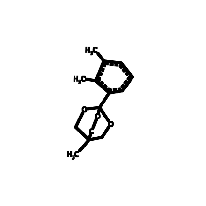 Cc1cccc(C23OCC(C)(CO2)CO3)c1C